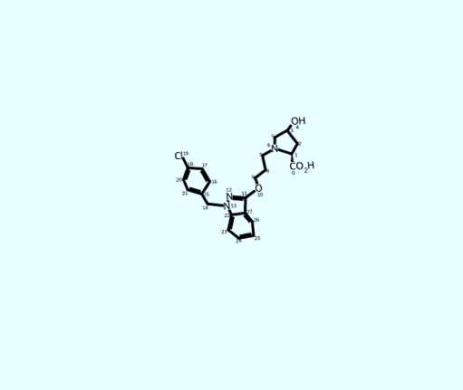 O=C(O)[C@@H]1CC(O)CN1CCCOc1nn(Cc2ccc(Cl)cc2)c2ccccc12